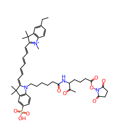 CCc1ccc2c(c1)C(C)(C)C(/C=C/C=C/C=C/C=C1\N(CCCCCC(=O)NC(CCCC(=O)ON3C(=O)CCC3=O)C(C)=O)c3ccc(S(=O)(=O)O)cc3C1(C)C)=[N+]2C